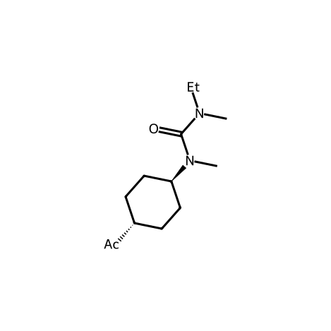 CCN(C)C(=O)N(C)[C@H]1CC[C@H](C(C)=O)CC1